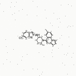 Cc1ccc(-n2nccn2)c(C(=O)N2CC(Nc3nc4ccc(Cl)cc4s3)CCC2C)c1